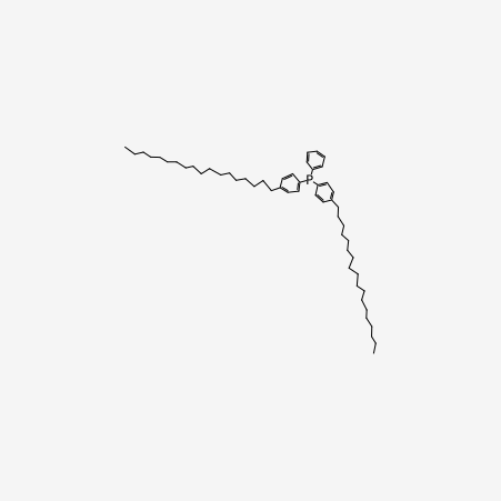 CCCCCCCCCCCCCCCCCCc1ccc(P(c2ccccc2)c2ccc(CCCCCCCCCCCCCCCCCC)cc2)cc1